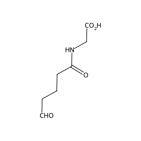 O=CCCCC(=O)NCC(=O)O